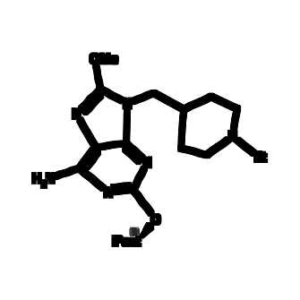 CCC[C@H](C)Oc1nc(N)c2nc(OC)n(CC3CCN(CC)CC3)c2n1